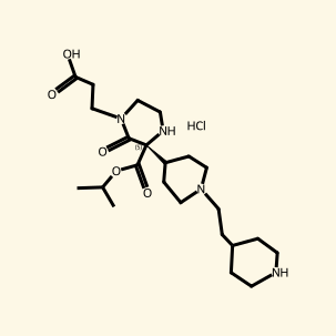 CC(C)OC(=O)[C@@]1(C2CCN(CCC3CCNCC3)CC2)NCCN(CCC(=O)O)C1=O.Cl